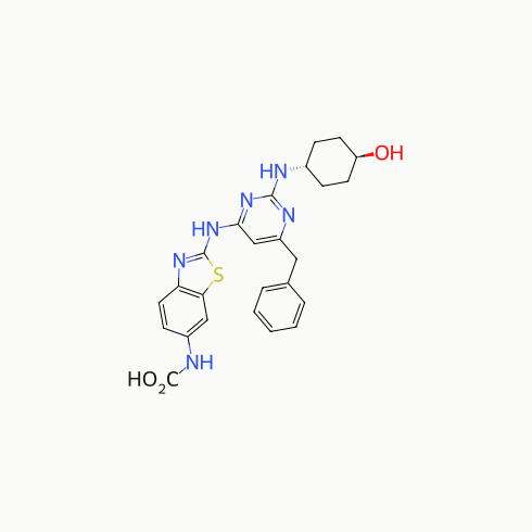 O=C(O)Nc1ccc2nc(Nc3cc(Cc4ccccc4)nc(N[C@H]4CC[C@H](O)CC4)n3)sc2c1